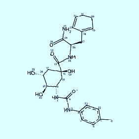 Cc1ccc(NC(=O)N[C@H]2C[C@@](O)(C(=O)N[C@H](CC3=CCCC=C3)C(N)=O)C[C@@H](O)[C@@H]2O)cc1